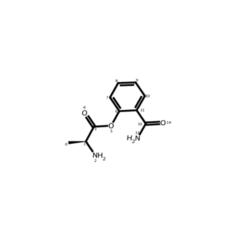 C[C@H](N)C(=O)Oc1ccccc1C(N)=O